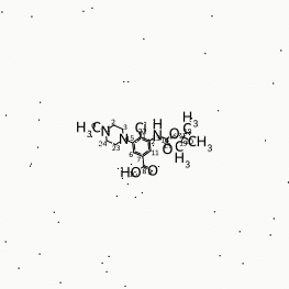 CN1CCN(c2cc(C(=O)O)cc(NC(=O)OC(C)(C)C)c2Cl)CC1